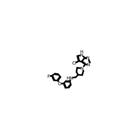 Fc1cccc(Oc2cccc(NCC3CCN(c4ncnc5[nH]cc(Cl)c45)CC3)c2)c1